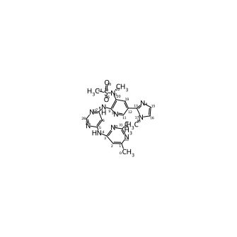 Cc1cc(Nc2cc(Nc3ncc(-c4nccn4C)cc3N(C)S(C)(=O)=O)ncn2)nc(C)n1